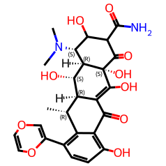 C[C@H]1c2c(C3=COC=CO3)ccc(O)c2C(=O)C2=C(O)[C@]3(O)C(=O)C(C(N)=O)C(O)[C@@H](N(C)C)[C@@H]3[C@@H](O)[C@@H]21